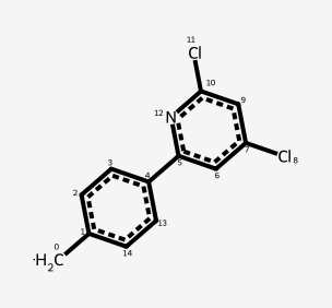 [CH2]c1ccc(-c2cc(Cl)cc(Cl)n2)cc1